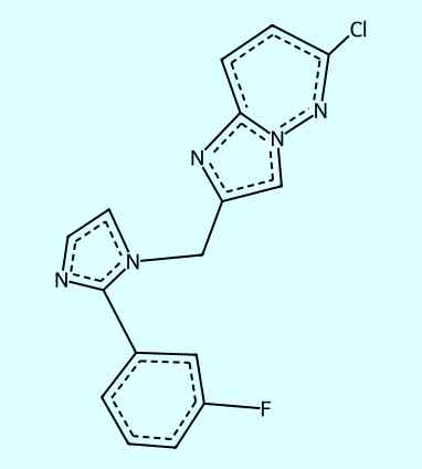 Fc1cccc(-c2nccn2Cc2cn3nc(Cl)ccc3n2)c1